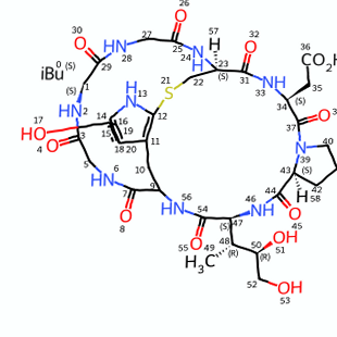 CC[C@H](C)[C@@H]1NC(=O)CNC(=O)C2Cc3c([nH]c4cc(O)ccc34)SC[C@@H](NC(=O)CNC1=O)C(=O)N[C@@H](CC(=O)O)C(=O)N1CCC[C@H]1C(=O)N[C@@H]([C@@H](C)[C@@H](O)CO)C(=O)N2